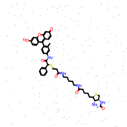 Cc1cc(NC(=O)C(SCCC(=O)NCCCCCNC(=O)CCCCC2SC[C@H](NC=O)[C@@H]2N)c2ccccc2)ccc1-c1c2ccc(=O)cc-2oc2cc(O)ccc12